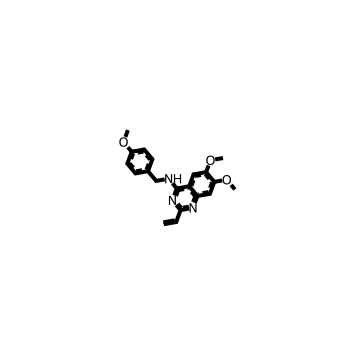 C=Cc1nc(NCc2ccc(OC)cc2)c2cc(OC)c(OC)cc2n1